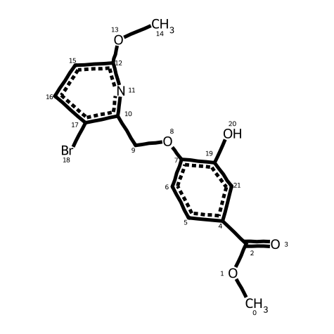 COC(=O)c1ccc(OCc2nc(OC)ccc2Br)c(O)c1